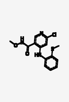 CONC(=O)c1cnc(Cl)cc1Nc1ccccc1SC